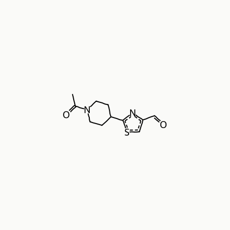 CC(=O)N1CCC(c2nc(C=O)cs2)CC1